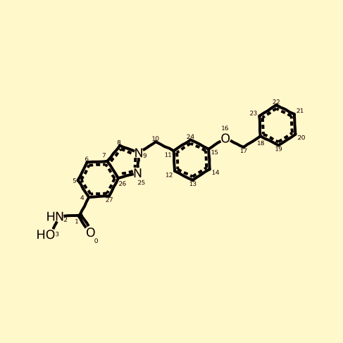 O=C(NO)c1ccc2cn(Cc3cccc(OCc4ccccc4)c3)nc2c1